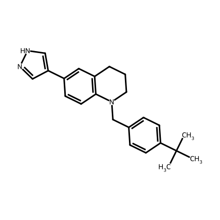 CC(C)(C)c1ccc(CN2CCCc3cc(-c4cn[nH]c4)ccc32)cc1